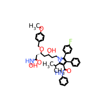 COc1ccc(CO[C@@H](CC(=O)NO)C[C@H](O)CCn2c(-c3ccc(F)cc3)c(-c3ccccc3)c(C(=O)Nc3ccccc3)c2C(C)C)cc1